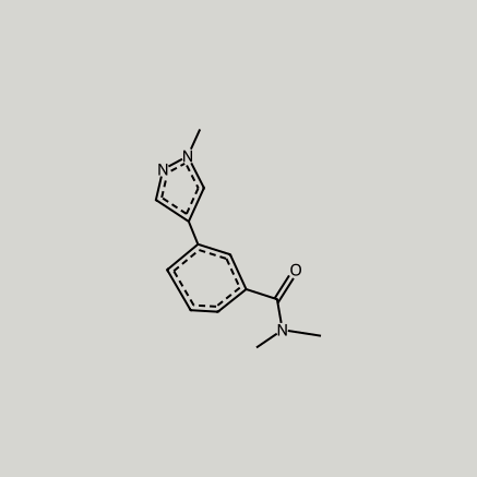 CN(C)C(=O)c1cccc(-c2cnn(C)c2)c1